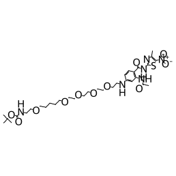 CC(=O)Nc1cc(NCCOCCOCCOCCOCCCCCOCCNC(=O)OC(C)(C)C)ccc1C(=O)Nc1nc(C)c([N+](=O)[O-])s1